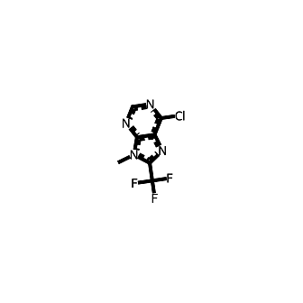 Cn1c(C(F)(F)F)nc2c(Cl)ncnc21